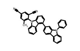 Cc1cc(C#N)cc(C#N)c1-n1c2ccccc2c2c(-c3ccc4c5ccccc5n(-c5ccccc5)c4c3)cccc21